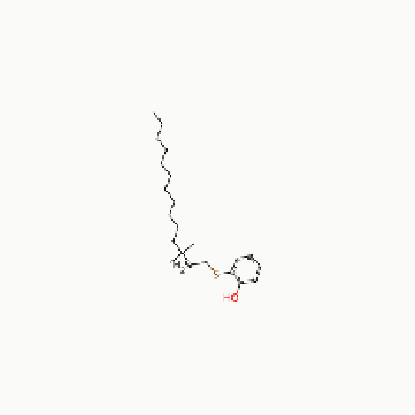 CCCCCCCCCCCC(C)(C)[SiH2]CSc1ccccc1O